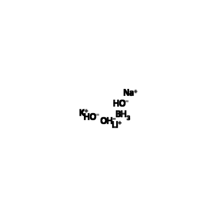 B.[K+].[Li+].[Na+].[OH-].[OH-].[OH-]